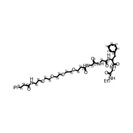 CCNC(=O)CNC(=O)C(Cc1ccccc1)NC(=O)CNC(=O)CNC(=O)CCOCCOCCOCCOCCNC(=O)CCC(C)C